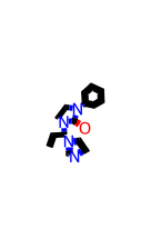 C=CC(N1CCN(c2ccccc2)C1=O)n1ccnc1